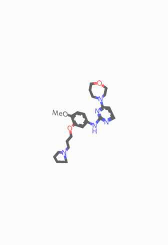 COc1ccc(Nc2nccc(N3CCCOCC3)n2)cc1OCCCN1CCCC1